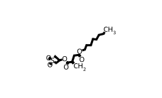 C=C(CC(=O)OCCCCCCCC)C(=O)OC1CS(=O)(=O)C1